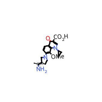 COc1c(N2CC[C@@H]([C@H](C)N)C2)ccc2c(=O)c(C(=O)O)cn(C3CC3)c12